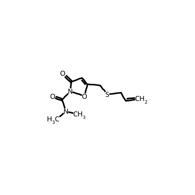 C=CCSCc1cc(=O)n(C(=O)N(C)C)o1